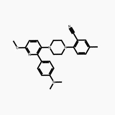 COc1ccc(N2CCN(c3ccc(C)cc3C#N)CC2)c(-c2ccc(N(C)C)cc2)n1